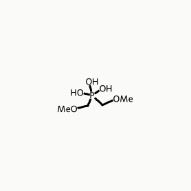 COCP(O)(O)(O)COC